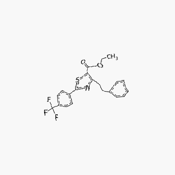 CCOC(=O)c1sc(-c2ccc(C(F)(F)F)cc2)nc1CCc1ccccc1